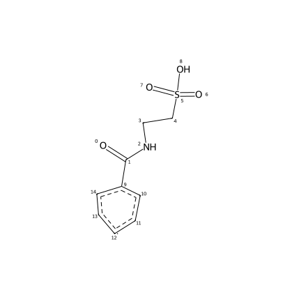 O=C(NCCS(=O)(=O)O)c1cc[c]cc1